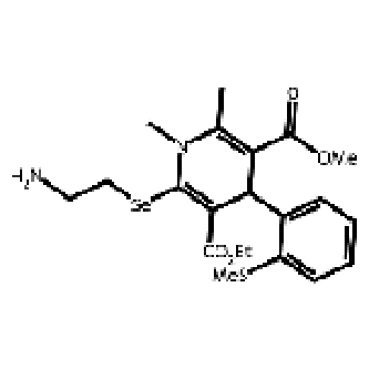 CCOC(=O)C1=C([Se]CCN)N(C)C(C)=C(C(=O)OC)C1c1ccccc1SC